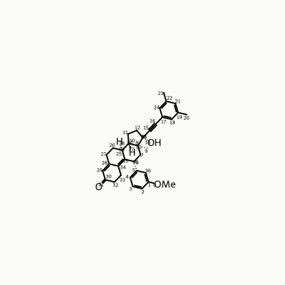 COc1cccc([C@H]2C[C@@]3(C)[C@@H](CC[C@@]3(O)C#Cc3cc(C)cc(C)c3)[C@@H]3CCC4=CC(=O)CCC4=C32)c1